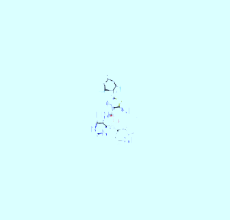 Nc1sc(-c2c(F)cccc2F)nc1C(=O)Nc1cncnc1SC1CCNCC1